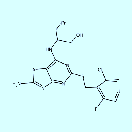 CC(C)CC(CO)Nc1nc(SCc2c(F)cccc2Cl)nc2nc(N)sc12